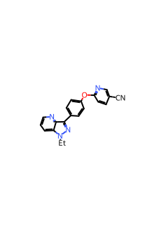 CCn1nc(-c2ccc(Oc3ccc(C#N)cn3)cc2)c2ncccc21